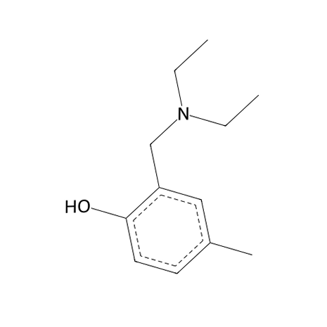 CCN(CC)Cc1cc(C)ccc1O